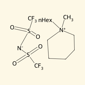 CCCCCC[N+]1(C)CCCCC1.O=S(=O)([N-]S(=O)(=O)C(F)(F)F)C(F)(F)F